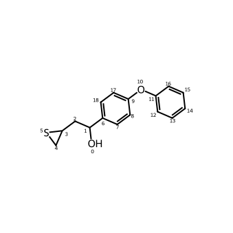 OC(CC1CS1)c1ccc(Oc2ccccc2)cc1